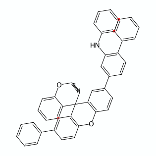 c1ccc(Nc2cc(-c3ccc4c(c3)C3(c5ccccc5Oc5ccccc53)c3cc(-c5ccccc5)ccc3O4)ccc2-c2ccccc2)cc1